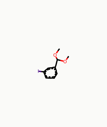 COC(OC)c1cccc(I)c1